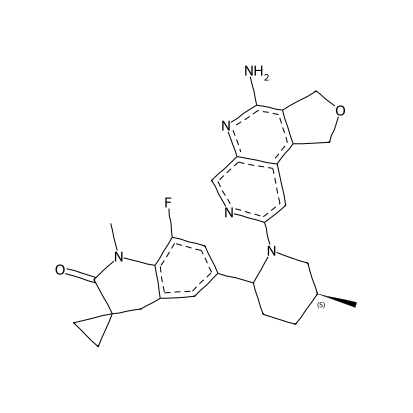 C[C@H]1CCC(c2cc(F)c3c(c2)CC2(CC2)C(=O)N3C)N(c2cc3c4c(c(N)nc3cn2)COC4)C1